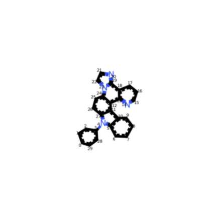 c1ccc(-n2c3ccccc3c3c4c5ncccc5c5nccn5c4ccc32)cc1